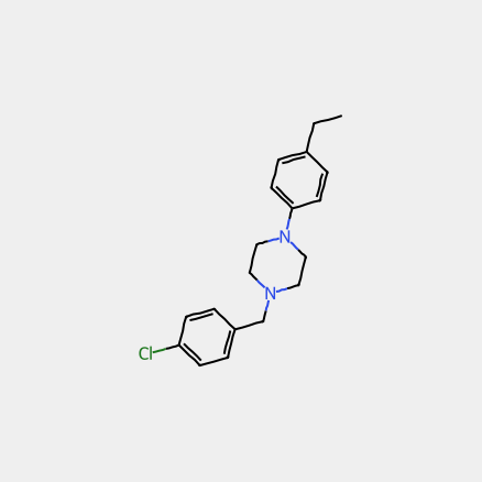 CCc1ccc(N2CCN(Cc3ccc(Cl)cc3)CC2)cc1